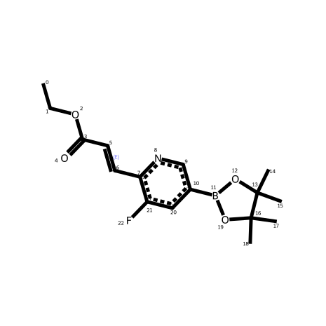 CCOC(=O)/C=C/c1ncc(B2OC(C)(C)C(C)(C)O2)cc1F